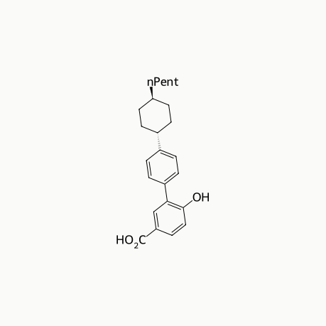 CCCCC[C@H]1CC[C@H](c2ccc(-c3cc(C(=O)O)ccc3O)cc2)CC1